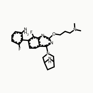 CN(C)CCCOc1nc(N2CC3CCC(C2)N3)c2ccc(-c3c(N)cccc3F)c(F)c2n1